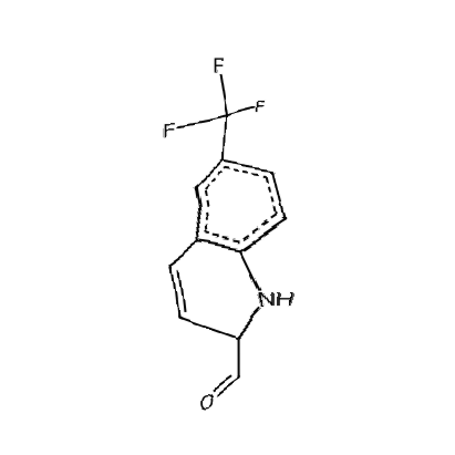 O=CC1C=Cc2cc(C(F)(F)F)ccc2N1